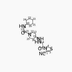 N#CC1=CSCN1C(=O)CNNC1CCN(C2OC2NC2CCCCC2)CC1